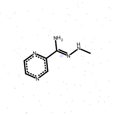 CN/N=C(\N)c1cnccn1